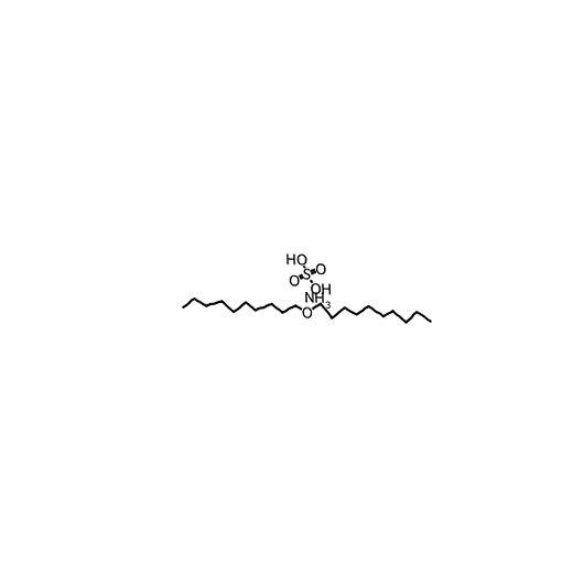 CCCCCCCCCCOCCCCCCCCCC.N.O=S(=O)(O)O